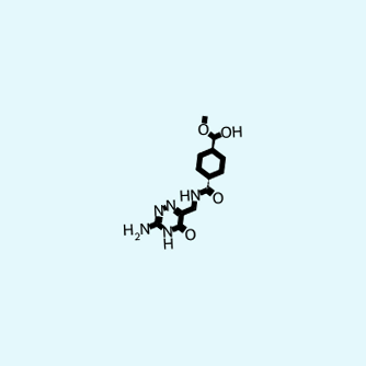 COC(O)[C@H]1CC[C@H](C(=O)NCc2nnc(N)[nH]c2=O)CC1